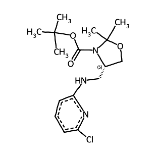 CC(C)(C)OC(=O)N1[C@@H](CNc2cccc(Cl)n2)COC1(C)C